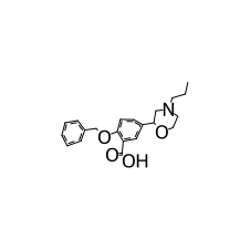 CCCN1CCOC(c2ccc(OCc3ccccc3)c(C(=O)O)c2)C1